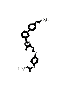 CCOC(=O)C=Cc1ccc(-c2cccc(-c3nc(CCOc4ccc(OC(C)CC(=O)OCC)cc4)c(C)o3)c2)cc1